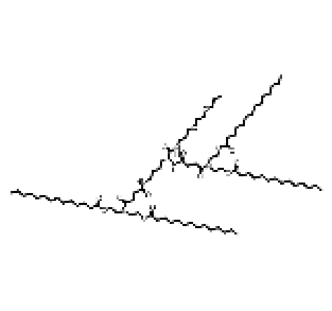 CCCCCCCCCCCCCC(=O)OCCN(CCOC(=O)CCCCCCCCCCCCC)C(=O)CCC(=O)NCCCC[C@H](NC(=O)CCC(=O)N(CCOC(=O)CCCCCCCCCCCCC)CCOC(=O)CCCCCCCCCCCCC)C(=O)NCCCOCCOCCC